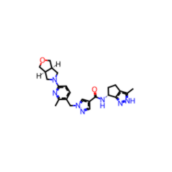 Cc1nc(N2C[C@H]3COC[C@H]3C2)ccc1Cn1cc(C(=O)N[C@@H]2CCc3c2n[nH]c3C)cn1